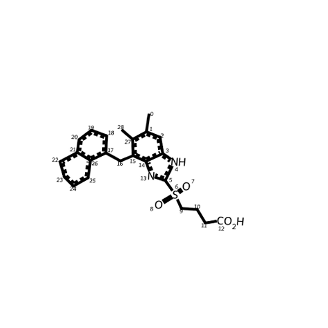 Cc1cc2[nH]c(S(=O)(=O)CCCC(=O)O)nc2c(Cc2cccc3ccccc23)c1C